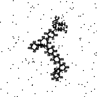 CC(C)(C)C(N)OC(N)C1=CCC(C2=CC(c3ccc(-c4ccc(C5CC=Cc6c5sc5ccccc65)cc4)cc3)NC(C3=CC=CCC3)CC2)C=C1